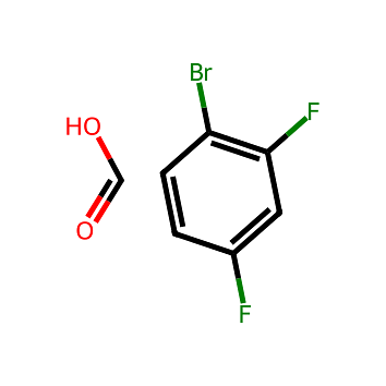 Fc1ccc(Br)c(F)c1.O=CO